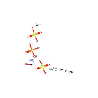 O=P([O-])(O)O.O=S(=O)([O-])[O-].O=S(=O)([O-])[O-].O=[N+]([O-])[O-].[Ca+2].[Cl-].[K+].[K+].[Mg+2].[Mn].[NH4+]